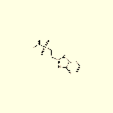 CNS(=O)(=O)CCc1nc2ccccc2s1